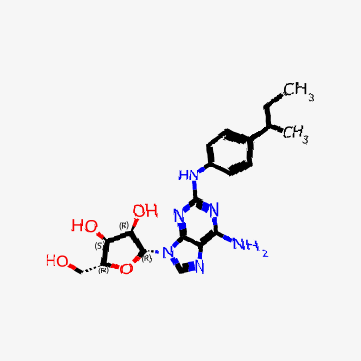 CCC(C)c1ccc(Nc2nc(N)c3ncn([C@@H]4O[C@H](CO)[C@@H](O)[C@H]4O)c3n2)cc1